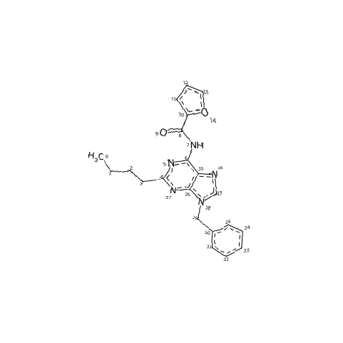 CCCCc1nc(NC(=O)c2ccco2)c2ncn(Cc3ccccc3)c2n1